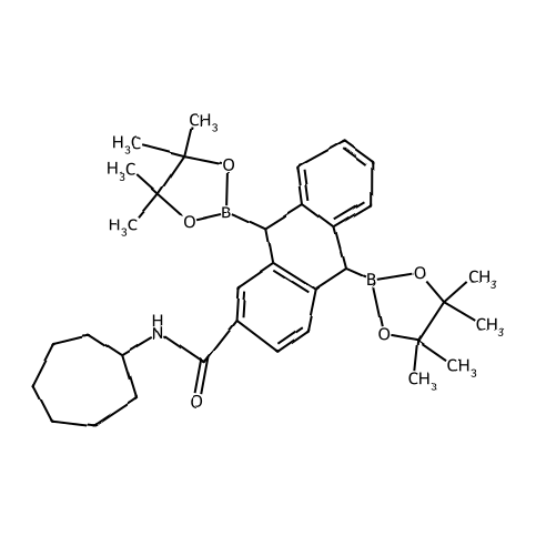 CC1(C)OB(C2c3ccccc3C(B3OC(C)(C)C(C)(C)O3)c3cc(C(=O)NC4CCCCCC4)ccc32)OC1(C)C